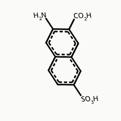 Nc1cc2ccc(S(=O)(=O)O)cc2cc1C(=O)O